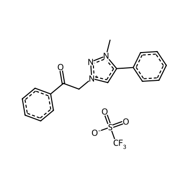 Cn1n[n+](CC(=O)c2ccccc2)cc1-c1ccccc1.O=S(=O)([O-])C(F)(F)F